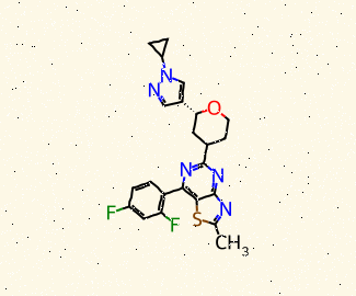 Cc1nc2nc(C3CCO[C@@H](c4cnn(C5CC5)c4)C3)nc(-c3ccc(F)cc3F)c2s1